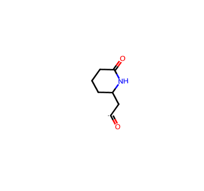 O=[C]CC1CCCC(=O)N1